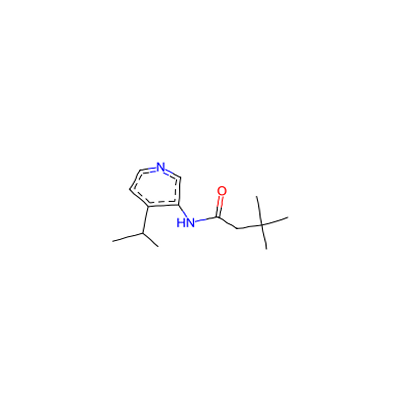 CC(C)c1ccncc1NC(=O)CC(C)(C)C